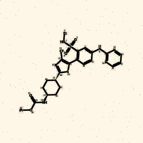 CCNS(=O)(=O)c1cc(Nc2ncccn2)ccc1-c1sc([C@H]2CC[C@H](NC(=O)OC(C)C)CC2)nc1C(F)(F)F